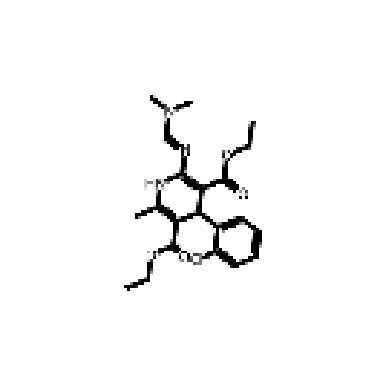 CCOC(=O)C1=C(C)NC(N=CN(C)C)=C(C(=O)OCC)C1c1ccccc1Cl